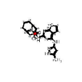 Cc1cc(Nc2nc(NC3CC4CCCC(C3)N4C(=O)O)nc3sccc23)n[nH]1